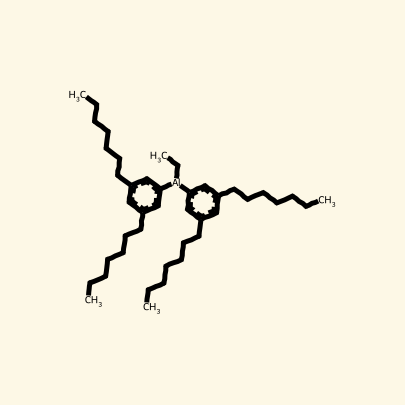 CCCCCCCc1cc(CCCCCCC)c[c]([Al]([CH2]C)[c]2cc(CCCCCCC)cc(CCCCCCC)c2)c1